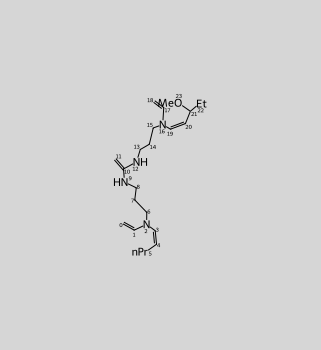 C=CN(/C=C\CCC)CCCNC(=C)NCCCN(C=C)/C=C\C(CC)OC